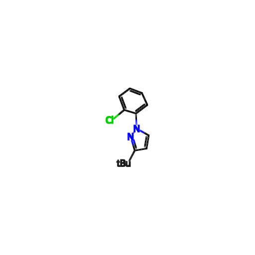 CC(C)(C)c1ccn(-c2ccccc2Cl)n1